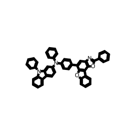 c1ccc(-c2nc3cc(-c4ccc(N(c5ccccc5)c5ccc6c7ccccc7n(-c7ccccc7)c6c5)cc4)c4oc5ccccc5c4c3o2)cc1